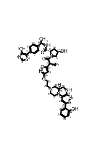 Cc1ncsc1-c1ccc(C(C)NC(=O)[C@@H]2C[C@@H](O)CN2C(=O)C(c2cc(OCCN3CCN4c5cc(-c6ccccc6O)nnc5NC[C@H]4C3)no2)C(C)C)cc1